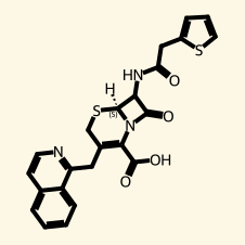 O=C(Cc1cccs1)NC1C(=O)N2C(C(=O)O)=C(Cc3nccc4ccccc34)CS[C@@H]12